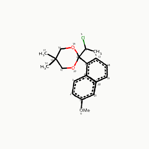 COc1ccc2c(C3(C(C)Cl)OCC(C)(C)CO3)cccc2c1